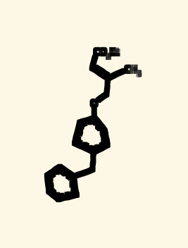 CCOC(=O)C=C(C)COc1ccc(Cc2ccccc2)cc1